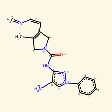 C=N/C=C\C1=C(C)CN(C(=O)Nc2nn(-c3ccccc3)cc2N)C1